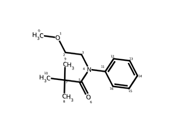 COCCN(C(=O)C(C)(C)C)c1ccccc1